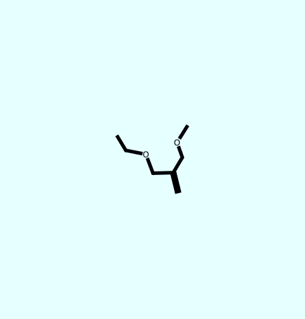 C=C(COC)COCC